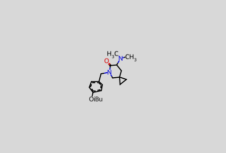 CC(C)COc1ccc(CN2CC3(CC3)CC(N(C)C)C2=O)cc1